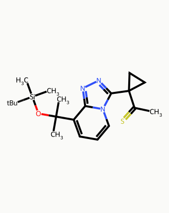 CC(=S)C1(c2nnc3c(C(C)(C)O[Si](C)(C)C(C)(C)C)cccn23)CC1